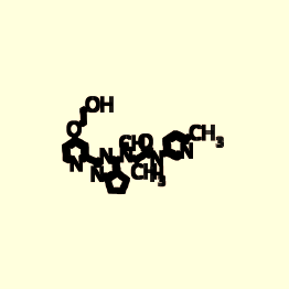 Cc1ccc(NC(=O)[C@@H](C)N(C)c2nc(-c3cc(OCCO)ccn3)nc3c2CCC3)cn1